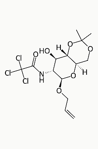 C=CCO[C@@H]1O[C@@H]2COC(C)(C)O[C@H]2[C@H](O)[C@H]1NC(=O)C(Cl)(Cl)Cl